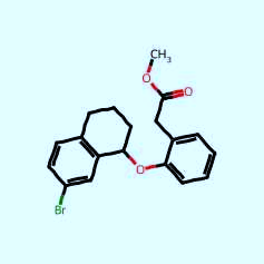 COC(=O)Cc1ccccc1OC1CCCc2ccc(Br)cc21